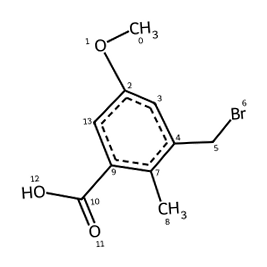 COc1cc(CBr)c(C)c(C(=O)O)c1